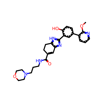 COc1ncccc1-c1ccc(O)c(-c2nc3c([nH]2)CCC(C(=O)NCCCN2CCOCC2)=C3)c1